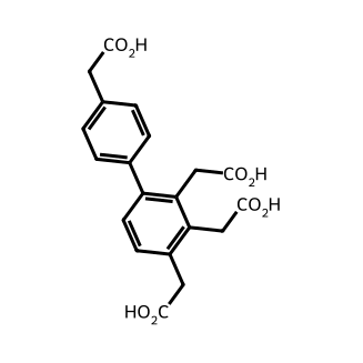 O=C(O)Cc1ccc(-c2ccc(CC(=O)O)c(CC(=O)O)c2CC(=O)O)cc1